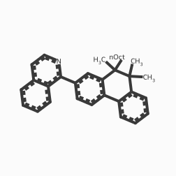 CCCCCCCCC1(C)c2cc(-c3nccc4ccccc34)ccc2-c2ccccc2C1(C)C